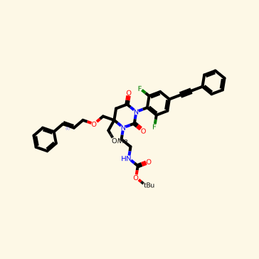 COCC1(COC/C=C/c2ccccc2)CC(=O)N(c2c(F)cc(C#Cc3ccccc3)cc2F)C(=O)N1CCNC(=O)OC(C)(C)C